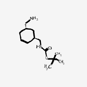 CC(C)(C)OC(=O)NC[C@H]1CCC[C@H](CN)C1